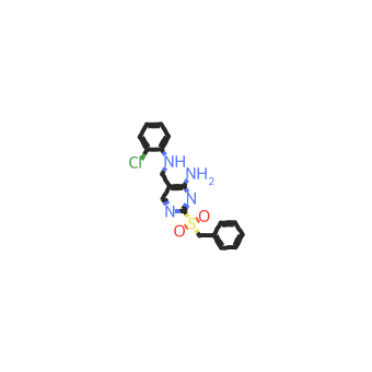 Nc1nc(S(=O)(=O)Cc2ccccc2)ncc1CNc1ccccc1Cl